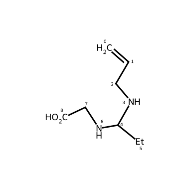 C=CCNC(CC)NCC(=O)O